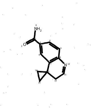 NC(=O)c1ccc2c(c1)C1(CC=N2)CC1